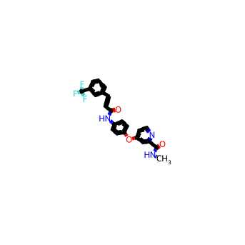 CNC(=O)c1cc(Oc2ccc(NC(=O)C=Cc3cccc(C(F)(F)F)c3)cc2)ccn1